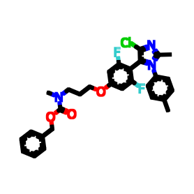 Cc1ccc(-n2c(C)nc(Cl)c2-c2c(F)cc(OCCCN(C)C(=O)OCc3ccccc3)cc2F)cc1